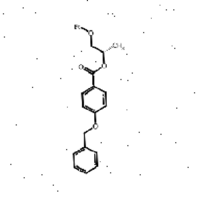 CCOC[C@H](C)OC(=O)c1ccc(OCc2ccccc2)cc1